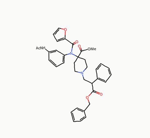 COC(=O)C1(N(C(=O)c2ccco2)c2cccc(NC(C)=O)c2)CCN(CC(C(=O)OCc2ccccc2)c2ccccc2)CC1